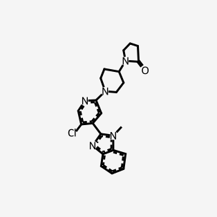 Cn1c(-c2cc(N3CCC(N4CCCC4=O)CC3)ncc2Cl)nc2ccccc21